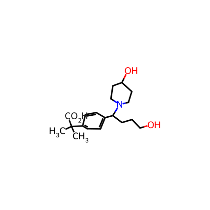 CC(C)(C(=O)O)c1ccc(C(CCCO)N2CCC(O)CC2)cc1